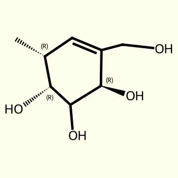 C[C@@H]1C=C(CO)[C@@H](O)C(O)[C@@H]1O